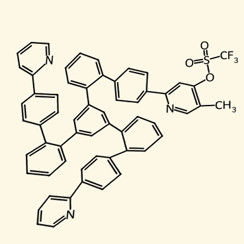 Cc1cnc(-c2ccc(-c3ccccc3-c3cc(-c4ccccc4-c4ccc(-c5ccccn5)cc4)cc(-c4ccccc4-c4ccc(-c5ccccn5)cc4)c3)cc2)cc1OS(=O)(=O)C(F)(F)F